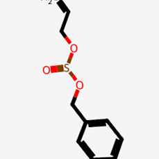 C=CCOS(=O)OCc1ccccc1